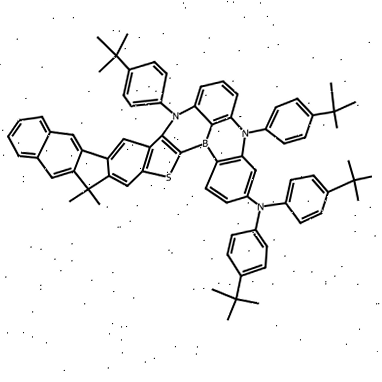 CC(C)(C)c1ccc(N(c2ccc(C(C)(C)C)cc2)c2ccc3c(c2)N(c2ccc(C(C)(C)C)cc2)c2cccc4c2B3c2sc3cc5c(cc3c2N4c2ccc(C(C)(C)C)cc2)-c2cc3ccccc3cc2C5(C)C)cc1